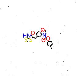 Cc1ccc(OC(=O)N2CCOc3ccc(C=C4SC(=S)NC4=O)cc32)cc1